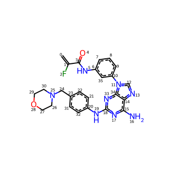 C=C(F)C(=O)Nc1cccc(-n2cnc3c(N)nc(Nc4ccc(CN5CCOCC5)cc4)nc32)c1